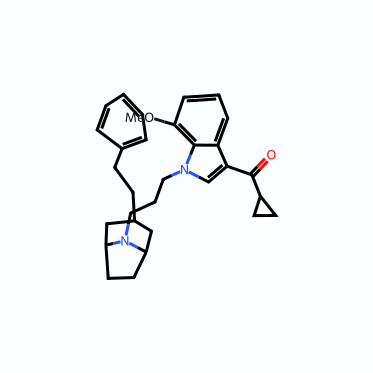 COc1cccc2c(C(=O)C3CC3)cn(CCCN3C4CCC3CC(CCc3ccccc3)C4)c12